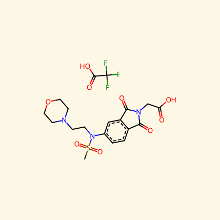 CS(=O)(=O)N(CCN1CCOCC1)c1ccc2c(c1)C(=O)N(CC(=O)O)C2=O.O=C(O)C(F)(F)F